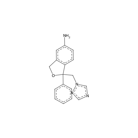 Nc1ccc2c(c1)COC2(Cn1cncn1)c1ccccc1